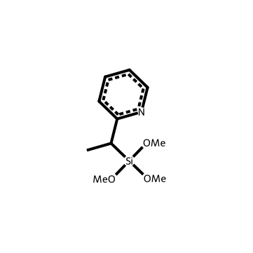 CO[Si](OC)(OC)C(C)c1ccccn1